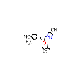 C=C(CC)C(=C)COC(C)(CCc1ccc(C#N)c(C(F)(F)F)c1)Cn1cc(C#N)cn1